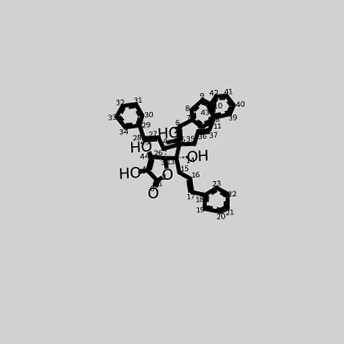 O=C1O[C@](CC=Cc2ccccc2)([C@](O)(CC=Cc2ccccc2)C(O)(CC=Cc2ccccc2)CC=Cc2ccccc2)C(O)=C1O